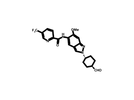 COc1cc2nn([C@H]3CC[C@H](C=O)CC3)cc2cc1NC(=O)c1ccc(C(F)(F)F)cn1